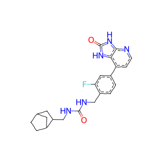 O=C(NCc1ccc(-c2ccnc3[nH]c(=O)[nH]c23)cc1F)NCC1CC2CCC1C2